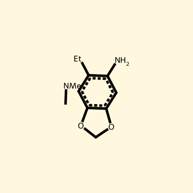 CCc1cc2c(cc1N)OCO2.CNC